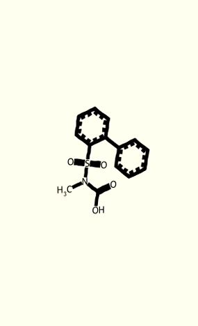 CN(C(=O)O)S(=O)(=O)c1ccccc1-c1ccccc1